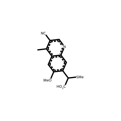 COc1cc2c(C)c(C#N)cnc2cc1C(SC)C(=O)O